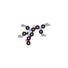 CC(C)(C)c1ccc(N2B3c4sc5ccc(C(C)(C)C)cc5c4-n4c5cc6oc7ccccc7c6cc5c5ccc(c3c54)-c3cc4c(cc32)oc2ccc(N(c3ccc(C(C)(C)C)cc3)c3ccc(C(C)(C)C)cc3)cc24)cc1